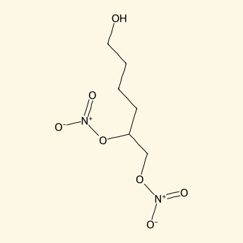 O=[N+]([O-])OCC(CCCCO)O[N+](=O)[O-]